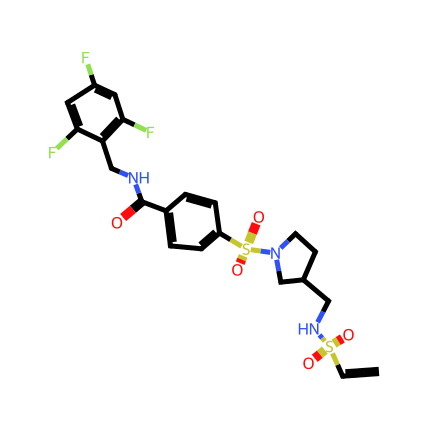 C=CS(=O)(=O)NCC1CCN(S(=O)(=O)c2ccc(C(=O)NCc3c(F)cc(F)cc3F)cc2)C1